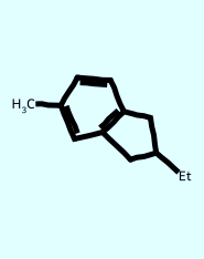 CCC1Cc2ccc(C)cc2C1